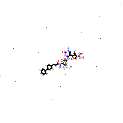 C=C1C(c2c[nH]c(=O)nc2NC(=O)O[C@@H](C(=O)O)[C@H](C)N(N)C(=O)CCc2ccc(-c3ccccc3)cc2)OC[C@H]1C(O)O